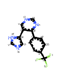 FC(F)(F)c1ccc(-c2n[c]ncc2-c2cnc[nH]2)cc1